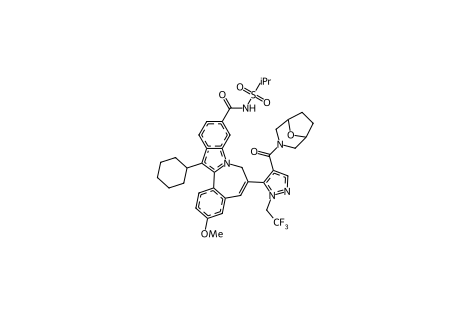 COc1ccc2c(c1)C=C(c1c(C(=O)N3CC4CCC(C3)O4)cnn1CC(F)(F)F)Cn1c-2c(C2CCCCC2)c2ccc(C(=O)NS(=O)(=O)C(C)C)cc21